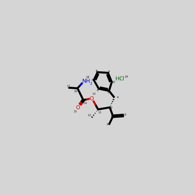 C=C(C)[C@@H](Cc1ccccc1)[C@H](C)OC(=O)C(C)N.Cl